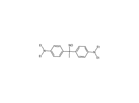 CCN(CC)c1ccc(C(C)(N=O)c2ccc(N(CC)CC)cc2)cc1